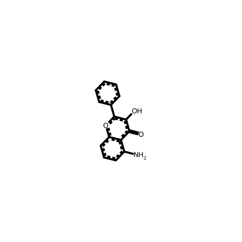 Nc1cccc2oc(-c3ccccc3)c(O)c(=O)c12